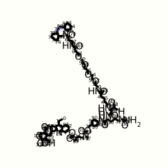 CCc1c2c(nc3cc(OC(=O)N(C)CCN(C)C(=O)OCc4ccc(NC(=O)[C@H](CCCNC(N)=O)NC(=O)[C@@H](NC(=O)CCCC(=O)NCCOCCOCCOCCOCCC(=O)NCCC(=O)N5Cc6ccccc6/C=C\c6ccccc65)C(C)C)cc4)ccc13)-c1cc3c(c(=O)n1C2)COC(=O)[C@]3(O)CC